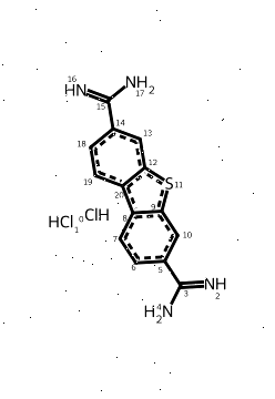 Cl.Cl.N=C(N)c1ccc2c(c1)sc1cc(C(=N)N)ccc12